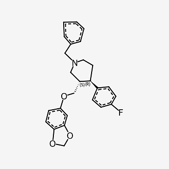 Fc1ccc([C@@H]2CCN(Cc3ccccc3)C[C@H]2COc2ccc3c(c2)OCO3)cc1